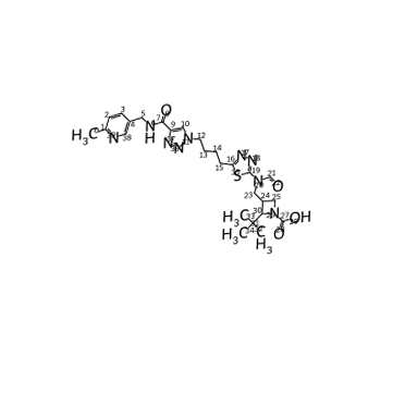 Cc1ccc(CNC(=O)c2cn(CCCCc3nnc(N(C=O)CC4CN(C(=O)O)C4C(C)(C)C)s3)nn2)cn1